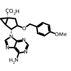 COc1ccc(COC2C[C@]3(C(=O)O)CC3[C@H]2n2cnc3c(N)ncnc32)cc1